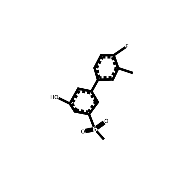 Cc1cc(-c2cc(O)cc(S(C)(=O)=O)c2)ccc1F